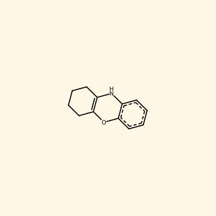 c1ccc2c(c1)NC1=C(CCCC1)O2